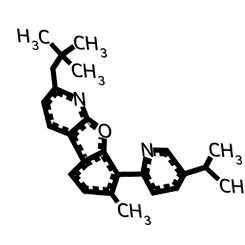 Cc1ccc2c(oc3nc(CC(C)(C)C)ccc32)c1-c1ccc(C(C)C)cn1